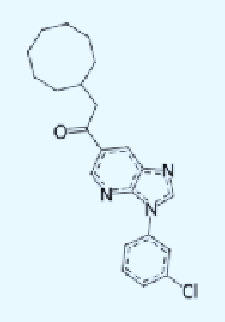 O=C(CC1CCCCCCC1)c1cnc2c(c1)ncn2-c1cccc(Cl)c1